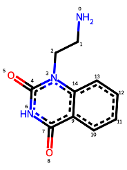 NCCn1c(=O)[nH]c(=O)c2ccccc21